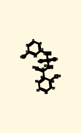 [O]c1cccc(NS(=O)(=O)NC(=O)c2ccccc2Cl)c1